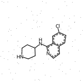 Clc1ccc2ccnc(NC3CCNCC3)c2c1